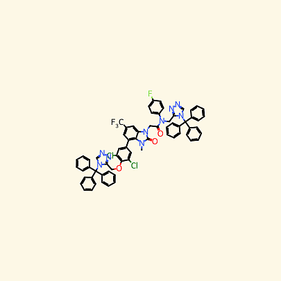 Cn1c(=O)n(CC(=O)N(Cc2nncn2C(c2ccccc2)(c2ccccc2)c2ccccc2)c2ccc(F)cc2)c2cc(C(F)(F)F)cc(-c3cc(Cl)c(OCc4nncn4C(c4ccccc4)(c4ccccc4)c4ccccc4)c(Cl)c3)c21